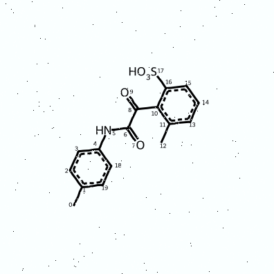 Cc1ccc(NC(=O)C(=O)c2c(C)cccc2S(=O)(=O)O)cc1